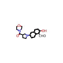 O=Cc1c(O)ccc2cc(N3CCC(C(=O)N4CCOCC4)C3)ccc12